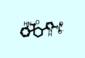 O=C1Nc2ccccc2C12CCCC(c1ccc([N+](=O)[O-])[nH]1)C2